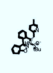 Cc1ccc(C[C@H](N[S+]([O-])C(C)(C)C)c2ccccc2-c2noc3ccccc23)nc1